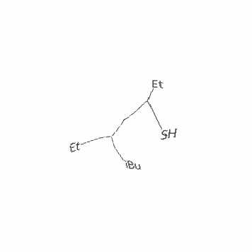 CCC(S)CC(CC)C(C)CC